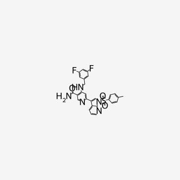 Cc1ccc(S(=O)(=O)n2cc(-c3cc(NCc4cc(F)cc(F)c4)c(C(N)=O)cn3)c3cccnc32)cc1